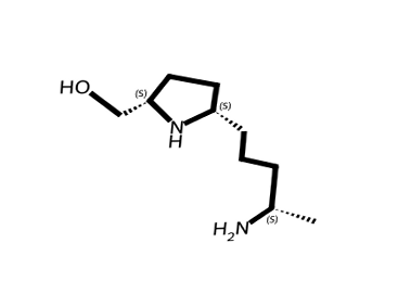 C[C@H](N)CCC[C@H]1CC[C@@H](CO)N1